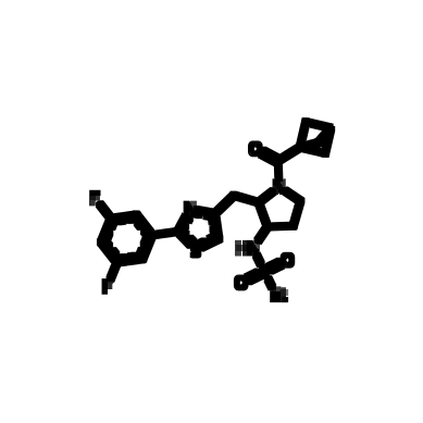 CCS(=O)(=O)NC1CCN(C(=O)C23CC(C2)C3)C1Cc1csc(-c2cc(F)cc(F)c2)n1